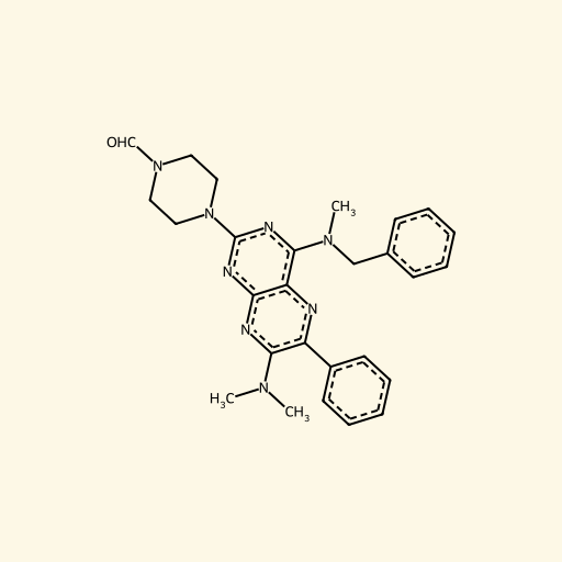 CN(C)c1nc2nc(N3CCN(C=O)CC3)nc(N(C)Cc3ccccc3)c2nc1-c1ccccc1